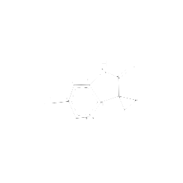 O=C1Nc2cc(Br)cnc2C12CC2